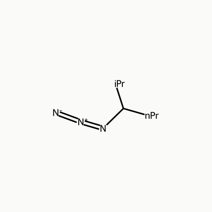 CCCC(N=[N+]=[N-])C(C)C